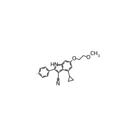 COCCOc1cc(C2CC2)c2c(C#N)c(-c3cc[c]cc3)[nH]c2c1